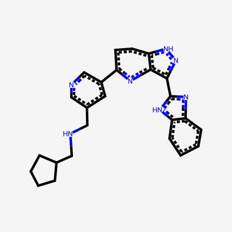 c1ccc2[nH]c(-c3n[nH]c4ccc(-c5cncc(CNCC6CCCC6)c5)nc34)nc2c1